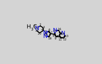 CN1CCC(n2cc(-c3cc4cccnc4cn3)cn2)CC1